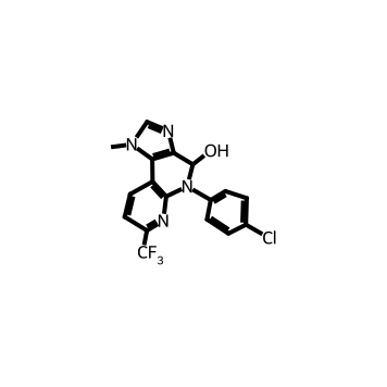 Cn1cnc2c1-c1ccc(C(F)(F)F)nc1N(c1ccc(Cl)cc1)C2O